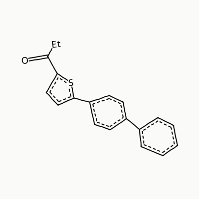 CCC(=O)c1ccc(-c2ccc(-c3ccccc3)cc2)s1